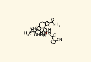 C[C@@H](CC1(c2nn[nH]n2)c2cc(C(=O)N(C)C)sc2CCc2cc(C(N)=O)sc21)NCC(=O)N1CCCC1C#N